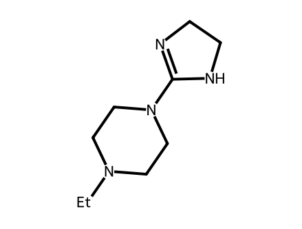 CCN1CCN(C2=NCCN2)CC1